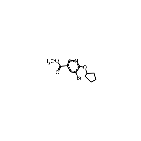 COC(=O)c1cnc(OC2CCCC2)c(Br)c1